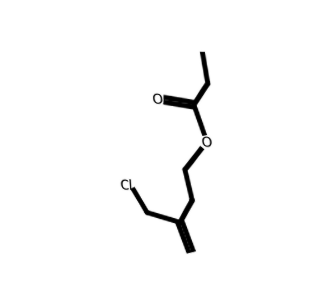 C=C(CCl)CCOC(=O)CC